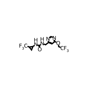 O=C(NCc1cc(OCC(F)(F)F)ncn1)NC1CC1C(F)(F)F